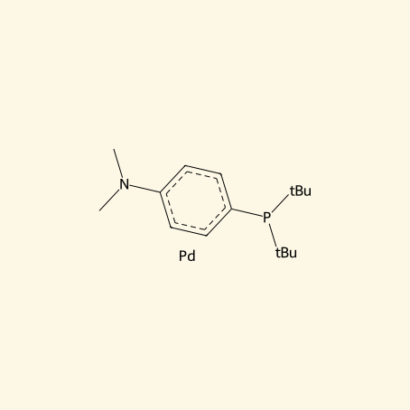 CN(C)c1ccc(P(C(C)(C)C)C(C)(C)C)cc1.[Pd]